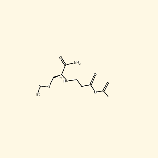 C=C(C)OC(=O)CCN[C@@H](CSSCC)C(N)=O